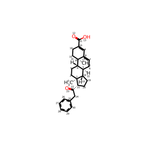 C[C@]12CC[C@H]3[C@@H](CC=C4C=C(C(=O)O)CC[C@@]43C)[C@@H]1CC[C@@H]2C(=O)Cc1ccccc1